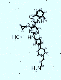 Cl.NCCCN1CCC(n2cc(Nc3ncc(C(=O)Nc4c(Cl)cccc4Cl)c(OC4CC4)n3)cn2)CC1